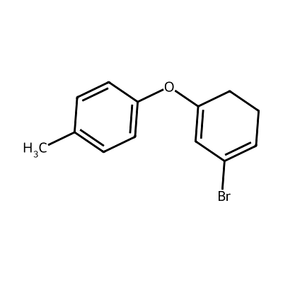 Cc1ccc(OC2=CC(Br)=CCC2)cc1